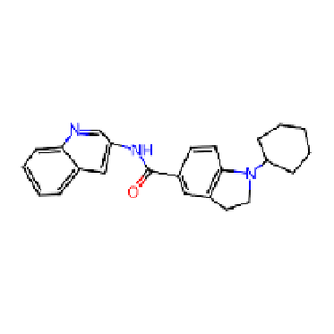 O=C(Nc1cnc2ccccc2c1)c1ccc2c(c1)CCN2C1CCCCC1